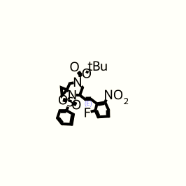 CC(C)(C)OC(=O)N1CC(/C=C/c2c(F)cccc2[N+](=O)[O-])N(S(=O)(=O)c2ccccc2)C2(CC2)C1